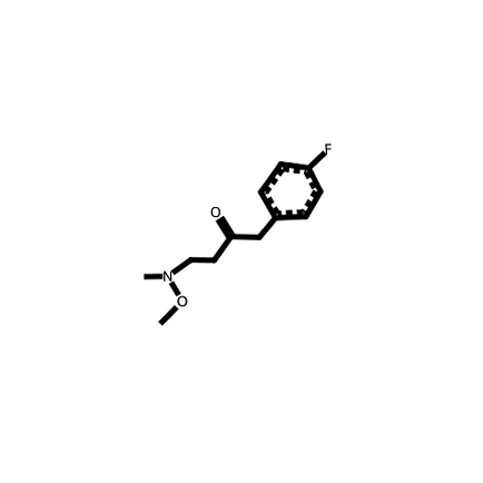 CON(C)CCC(=O)Cc1ccc(F)cc1